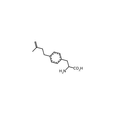 C=C(C)CCc1ccc(CC(N)C(=O)O)cc1